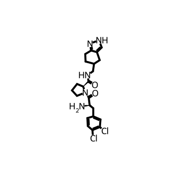 N[C@H](Cc1ccc(Cl)c(Cl)c1)C(=O)N1CCC[C@H]1C(=O)NCC1CCc2n[nH]cc2C1